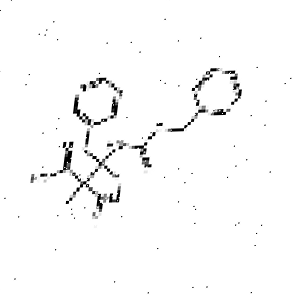 CCC(Cc1ccccc1)(NC(=O)OCc1ccccc1)C(C)([PH2]=O)C(=O)O